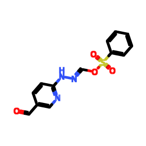 O=Cc1ccc(NN=COS(=O)(=O)c2ccccc2)nc1